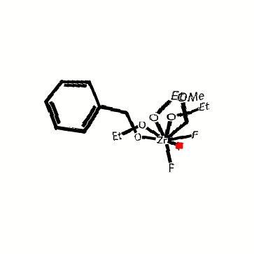 CC[O][Zr]([F])([F])([F])([F])([CH2]OC)([O]CC)([O]CC)[O]Cc1ccccc1